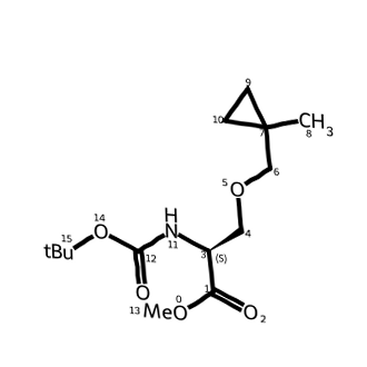 COC(=O)[C@H](COCC1(C)CC1)NC(=O)OC(C)(C)C